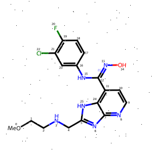 COCCNCc1nc2nccc(/C(=N\O)Nc3ccc(F)c(Cl)c3)c2[nH]1